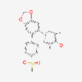 COc1c(C)cc(-c2cc3c(cc2-c2ccc(S(C)(=O)=O)cc2)OCO3)cc1C